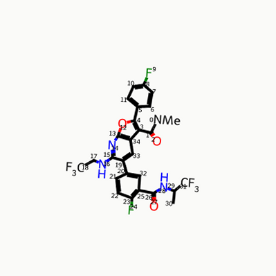 CNC(=O)c1c(-c2ccc(F)cc2)oc2nc(NCC(F)(F)F)c(-c3ccc(F)c(C(=O)NC(C)C(F)(F)F)c3)cc12